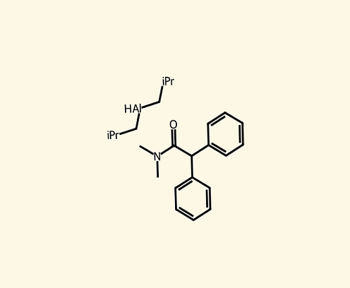 CC(C)[CH2][AlH][CH2]C(C)C.CN(C)C(=O)C(c1ccccc1)c1ccccc1